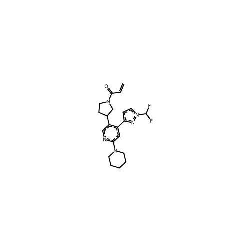 C=CC(=O)N1CCC(c2cnc(N3CCCCC3)cc2-c2ccn(C(F)F)n2)C1